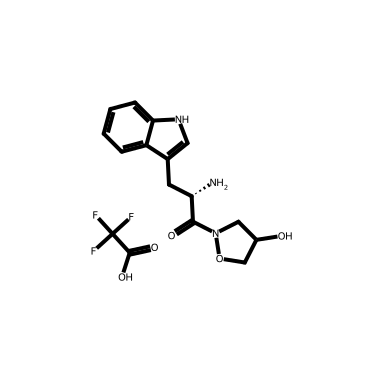 N[C@@H](Cc1c[nH]c2ccccc12)C(=O)N1CC(O)CO1.O=C(O)C(F)(F)F